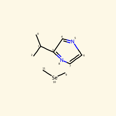 CC(C)c1cnccn1.C[Se]C